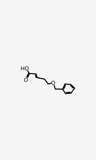 O=C(O)C=CCCOCc1ccccc1